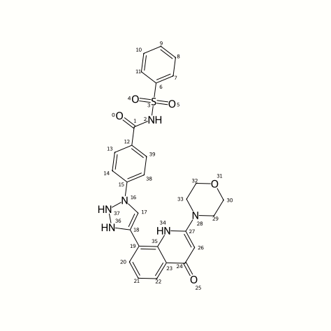 O=C(NS(=O)(=O)c1ccccc1)c1ccc(N2C=C(c3cccc4c(=O)cc(N5CCOCC5)[nH]c34)NN2)cc1